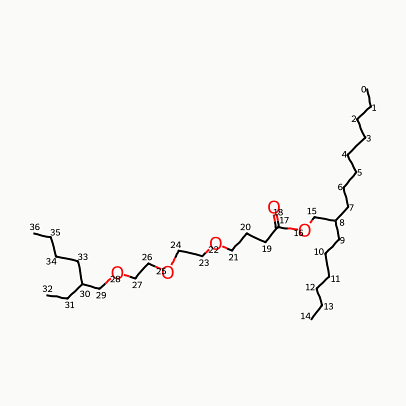 CCCCCCCCC(CCCCCC)COC(=O)CCCOCCOCCOCC(CC)CCCC